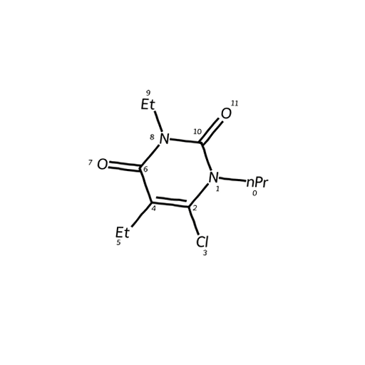 CCCn1c(Cl)c(CC)c(=O)n(CC)c1=O